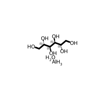 O.OC[C@H](O)[C@H](O)[C@@H](O)[C@@H](O)CO.[AlH3]